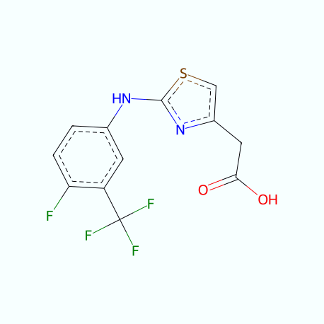 O=C(O)Cc1csc(Nc2ccc(F)c(C(F)(F)F)c2)n1